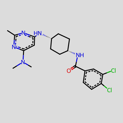 Cc1nc(N[C@H]2CC[C@@H](NC(=O)c3ccc(Cl)c(Cl)c3)CC2)cc(N(C)C)n1